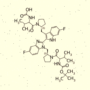 CC(C)C(NC(=O)O)C(=O)N1CCC[C@H]1Cc1c(-c2nc3cc(F)ccc3n2C[C@@H]2CCCN2C(=O)C(NC(=O)OC(C)(C)C)C(C)C)[nH]c2cc(F)ccc12